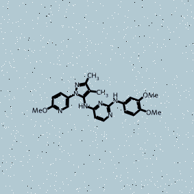 COc1ccc(-n2nc(C)c(C)c2Nc2ccnc(Nc3ccc(OC)c(OC)c3)n2)cn1